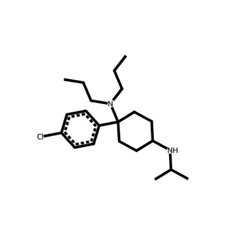 CCCN(CCC)C1(c2ccc(Cl)cc2)CCC(NC(C)C)CC1